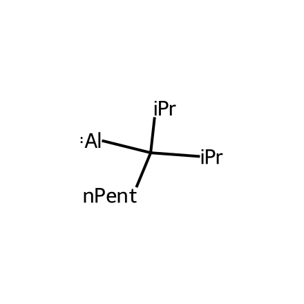 CCCCC[C]([Al])(C(C)C)C(C)C